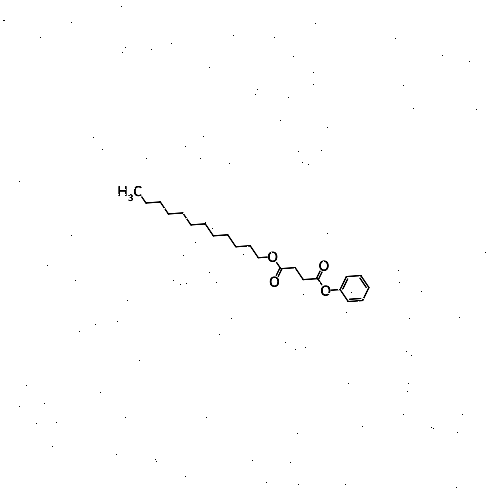 CCCCCCCCCCCCOC(=O)CCC(=O)Oc1ccccc1